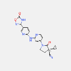 N#C[C@@]1(C2CC2)CCN(c2ccnc(Nc3ccc(-c4noc(=O)[nH]4)cn3)c2)C1=O